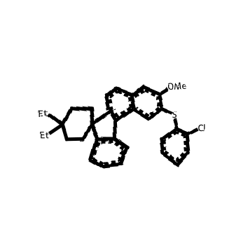 CCC1(CC)CCC2(CC1)c1ccccc1-c1c2ccc2cc(OC)c(Sc3ccccc3Cl)cc12